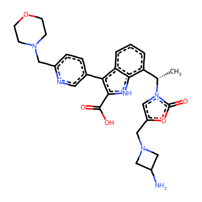 C[C@@H](c1cccc2c(-c3ccc(CN4CCOCC4)nc3)c(C(=O)O)[nH]c12)n1cc(CN2CC(N)C2)oc1=O